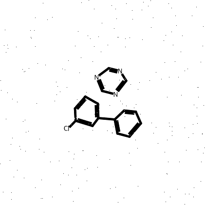 Clc1cccc(-c2ccccc2)c1.c1ncncn1